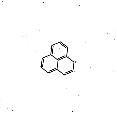 [C]1[C]=Cc2cccc3cccc1c23